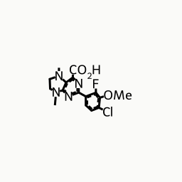 COc1c(Cl)ccc(-c2nc(C(=O)O)c3c(n2)N(C)CCN3C)c1F